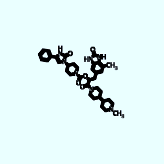 Cc1cc(CC(OC(=O)N2CCC(n3cc(-c4ccccc4)[nH]c3=O)CC2)C(=O)N2CCC(C3CCN(C)CC3)CC2)cc2[nH]c(=O)[nH]c12